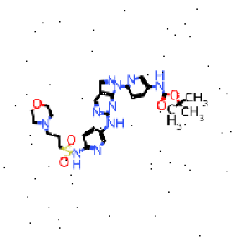 CC(C)(C)OC(=O)Nc1ccc(-n2ncc3cnc(Nc4ccc(NS(=O)(=O)CCCN5CCOCC5)nc4)nc32)nc1